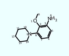 COc1c(N)cccc1N1CCCCC1